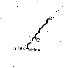 CCCCCCC(CCCCCC)CCOC(=O)CCCCCCCBr